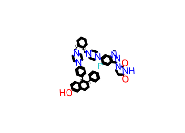 Cn1nc(N2CCC(=O)NC2=O)c2cc(F)c(N3CCN(C[C@@H]4CCCC[C@H]4CN4CCN(c5ccc([C@@H]6c7ccc(O)cc7CC[C@@H]6c6ccccc6)cc5)CC4)CC3)cc21